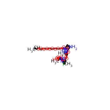 CC[C@@]1(O)C(=O)OCc2c1cc1n(c2=O)Cc2c-1nc1cc(F)c(C)c3c1c2[C@@H](NC(=O)OCc1ccc(NC(=O)[C@H](CCCCN)NC(=O)[C@H](CC2=CCCC=C2)NC(=O)CCOCCOCCOCCOCCOCCOCCOCCOCCOCCC(C)C)c(C)c1)CC3